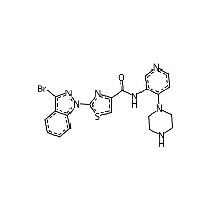 O=C(Nc1cnccc1N1CCNCC1)c1csc(-n2nc(Br)c3ccccc32)n1